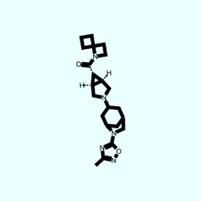 Cc1noc(N2CC3CC(N4C[C@@H]5[C@H](C4)[C@H]5C(=O)N4CCC45CCC5)CC2C3)n1